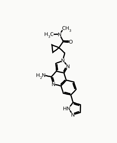 CN(C)C(=O)C1(Cn2cc3c(N)nc4cc(-c5ccn[nH]5)ccc4c3n2)CC1